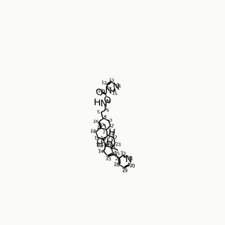 C[C@]12CCC(CCNOC(=O)n3ccnc3)C=C1CC[C@H]1[C@@H]2CC[C@]2(C)C(c3cccnc3)=CC[C@@H]12